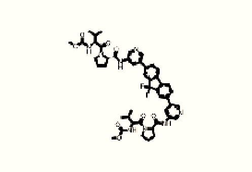 COC(=O)NC(C(=O)N1CCCC1C(=O)Nc1cncc(-c2ccc3c(c2)C(F)(F)c2cc(-c4cncc(NC(=O)[C@@H]5CCCN5C(=O)[C@@H](NC(=O)OC)C(C)C)c4)ccc2-3)c1)C(C)C